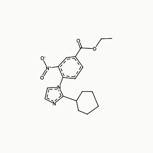 CCOC(=O)c1ccc(-n2ccnc2C2CCCCC2)c([N+](=O)[O-])c1